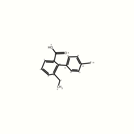 CCc1cccc(C(=O)O)c1-c1ccc(F)cc1